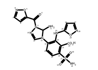 NC1N(C(=O)c2ccno2)N=CN1c1ccc(S(N)(=O)=O)c(C(=O)O)c1Nc1ccno1